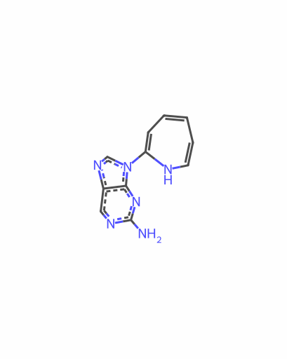 Nc1ncc2ncn(C3=CC=CC=CN3)c2n1